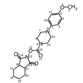 COc1ccc(N2CCN(C(=O)ON3C(=O)C4CCCCC4C3=O)CC2)cc1